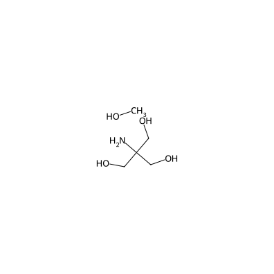 CO.NC(CO)(CO)CO